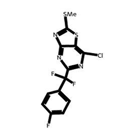 CSc1nc2nc(C(F)(F)c3ccc(F)cc3)nc(Cl)c2s1